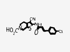 N#Cc1c(NC(=O)C=Cc2ccc(Cl)cc2)sc2c1CCN(C(=O)O)C2